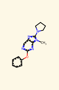 Cn1c(N2CCCC2)nc2cnc(Oc3ccccc3)nc21